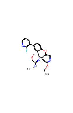 CC(C)(C)COc1cc2c(cn1)Oc1ccc(-c3cccnc3F)cc1[C@@]21COCC(NC=O)=N1